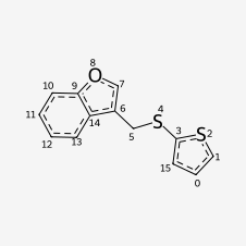 c1csc(SCc2coc3ccccc23)c1